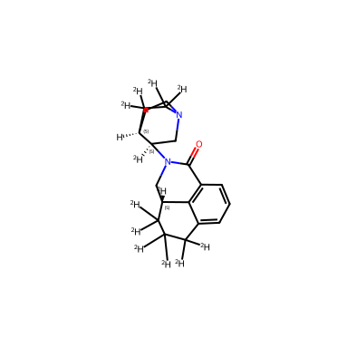 [2H]C1([2H])c2cccc3c2[C@@]([2H])(CN([C@]2([2H])CN4CC[C@H]2C([2H])([2H])C4([2H])[2H])C3=O)C([2H])([2H])C1([2H])[2H]